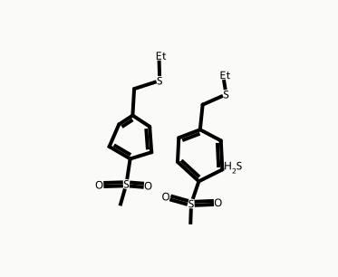 CCSCc1ccc(S(C)(=O)=O)cc1.CCSCc1ccc(S(C)(=O)=O)cc1.S